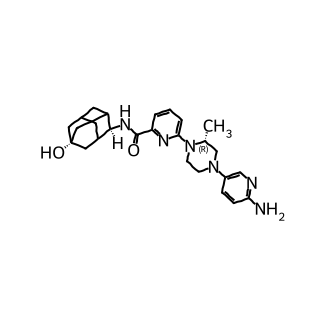 C[C@@H]1CN(c2ccc(N)nc2)CCN1c1cccc(C(=O)N[C@H]2C3CC4CC2C[C@](O)(C4)C3)n1